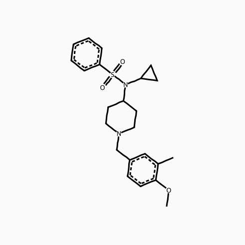 COc1ccc(CN2CCC(N(C3CC3)S(=O)(=O)c3ccccc3)CC2)cc1C